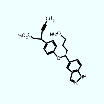 CC#CC(CC(=O)O)c1ccc(O[C@@H](CCCOC)c2ccc3[nH]ncc3c2)cc1